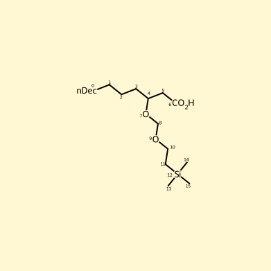 CCCCCCCCCCCCCC(CC(=O)O)OCOCC[Si](C)(C)C